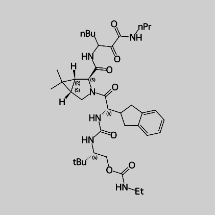 CCCCC(NC(=O)[C@@H]1[C@@H]2[C@H](CN1C(=O)[C@@H](NC(=O)N[C@H](COC(=O)NCC)C(C)(C)C)C1Cc3ccccc3C1)C2(C)C)C(=O)C(=O)NCCC